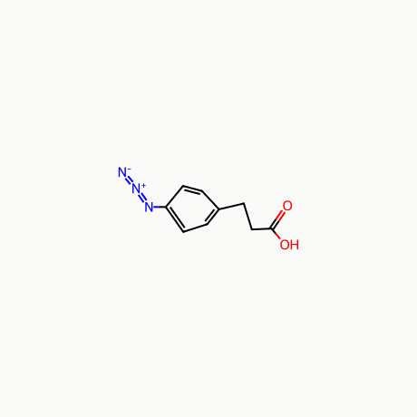 [N-]=[N+]=Nc1ccc(CCC(=O)O)cc1